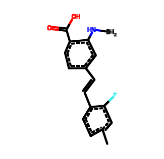 BNc1cc(/C=C/c2ccc(C)cc2F)ccc1C(=O)O